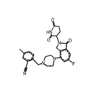 Cc1ccc(CN2CCN(c3cc(F)cc4c3CN(C3CCC(=O)NC3=O)C4=O)CC2)c(C#N)c1